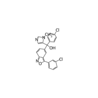 Cn1cncc1C(O)(c1ccc(Cl)cc1)c1ccc2noc(-c3cccc(Cl)c3)c2c1